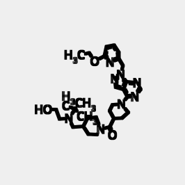 CCOc1cccc(Cn2ncc3c(N4CCC(C(=O)N5CCC(CN(CCO)C(C)(C)C)CC5)CC4)ncnc32)n1